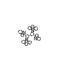 c1ccc2c(c1)Oc1ccccc1N2c1cc(-c2cc(-c3nc4ccccc4o3)cc(N3c4ccccc4Oc4ccccc43)c2)cc(-c2nc3ccccc3o2)c1